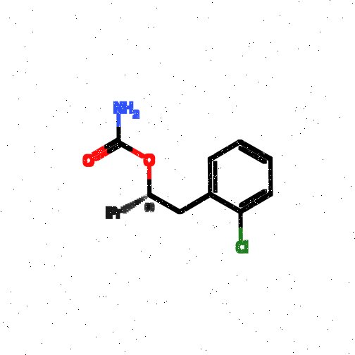 CC(C)[C@@H](Cc1ccccc1Cl)OC(N)=O